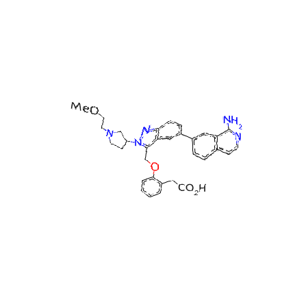 COCCN1CCC(n2nc3ccc(-c4ccc5ccnc(N)c5c4)cc3c2COc2ccccc2CC(=O)O)C1